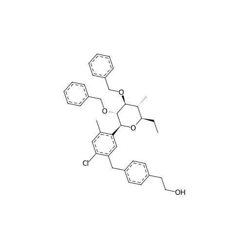 CC[C@H]1O[C@@H](c2cc(Cc3ccc(CCO)cc3)c(Cl)cc2C)[C@H](OCc2ccccc2)[C@@H](OCc2ccccc2)[C@@H]1C